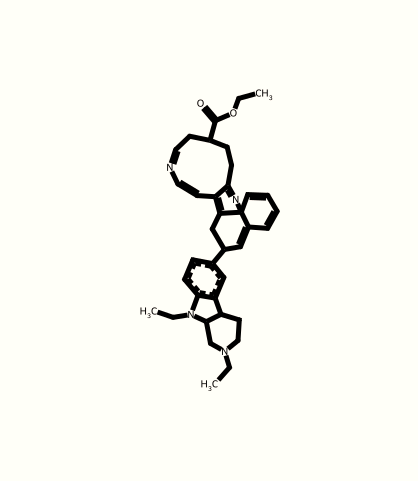 CCOC(=O)C1CC=NC=CC2=C3CC(c4ccc5c(c4)C4CCN(CC)CC4N5CC)C=C4C=CC=CC43N=C2CC1